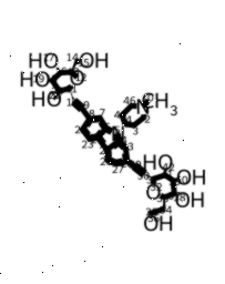 CN1CCC(n2c3cc(C#C[C@H]4O[C@H](CO)[C@@H](O)[C@H](O)[C@@H]4O)ccc3c3ccc(C#C[C@H]4O[C@H](CCO)[C@@H](O)[C@H](O)[C@@H]4O)cc32)CC1